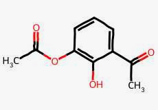 CC(=O)Oc1cccc(C(C)=O)c1O